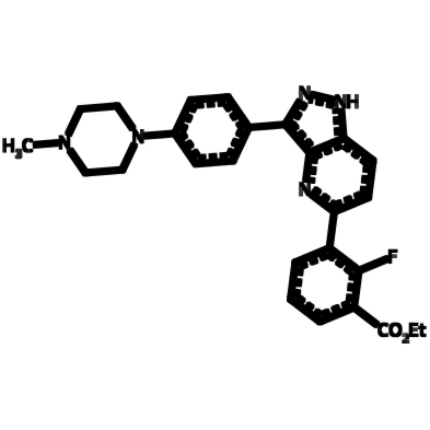 CCOC(=O)c1cccc(-c2ccc3[nH]nc(-c4ccc(N5CCN(C)CC5)cc4)c3n2)c1F